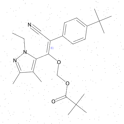 CCn1nc(C)c(C)c1/C(OCOC(=O)C(C)(C)C)=C(\C#N)c1ccc(C(C)(C)C)cc1